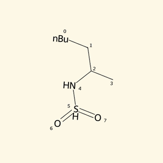 CCCCCC(C)N[SH](=O)=O